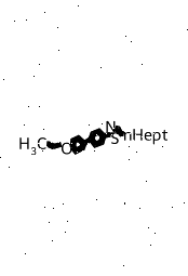 C/C=C/COc1ccc(-c2ccc(-c3ncc(CCCCCCC)s3)cc2)cc1